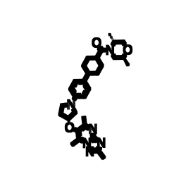 Cc1nc2nc(C)c(O[C@@H]3CCN(c4ccc(C5CCC(C(=O)N6C[C@H](C)OC[C@H]6C)CC5)cc4)C3)c(C)n2n1